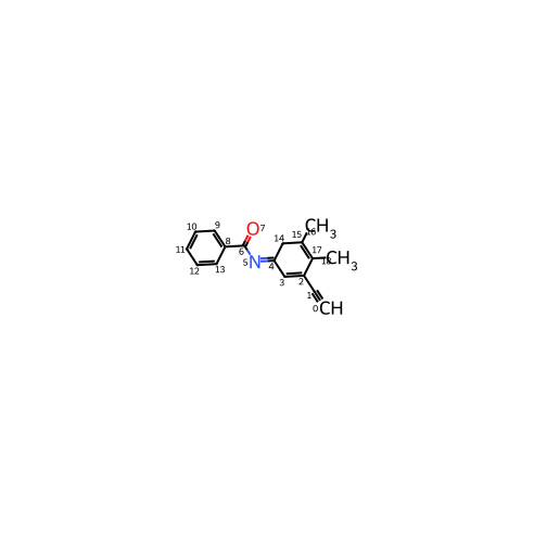 C#CC1=CC(=NC(=O)c2ccccc2)CC(C)=C1C